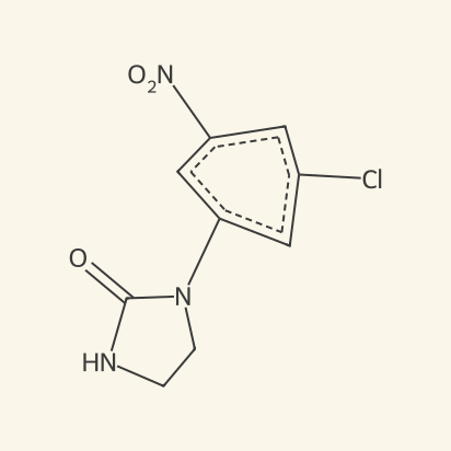 O=C1NCCN1c1cc(Cl)cc([N+](=O)[O-])c1